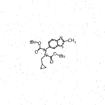 Cc1nc2ccc(N(C(=O)OC(C)(C)C)N(CC3CC3)C(=O)OC(C)(C)C)cc2s1